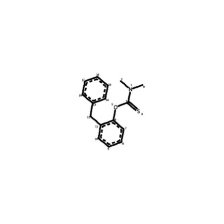 CN(C)C(=S)Oc1ccccc1Cc1ccccc1